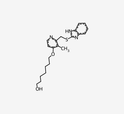 Cc1c(OCCCCCCCO)ccnc1CSc1nc2ccccc2[nH]1